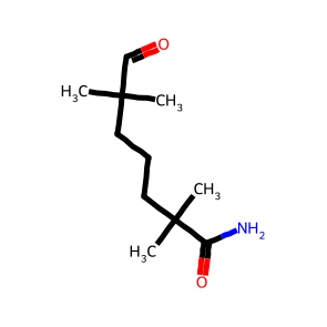 CC(C)(C=O)CCCC(C)(C)C(N)=O